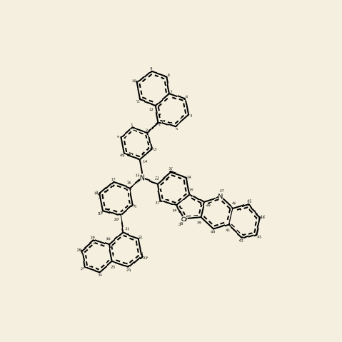 c1cc(-c2cccc3ccccc23)cc(N(c2cccc(-c3cccc4ccccc34)c2)c2ccc3c(c2)oc2cc4ccccc4nc23)c1